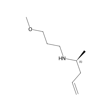 C=CC[C@H](C)NCCCOC